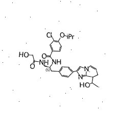 CC(C)Oc1ccc(C(=O)N[C@H](CNC(=O)CO)Cc2ccc(-c3cn4c(n3)C(C(C)O)CC=C4)cc2)cc1Cl